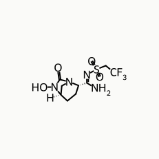 NC(=NS(=O)(=O)CC(F)(F)F)[C@@H]1CC[C@@H]2CN1C(=O)N2O